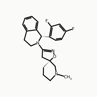 CN1CCC[C@@]2(CC(N3CCc4ccccc4[C@@H]3c3ccc(F)cc3F)=NO2)C1